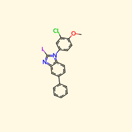 COc1ccc(-n2c(I)nc3cc(-c4ccccc4)ccc32)cc1Cl